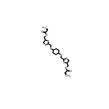 C=CC(=O)OCC1CSC(CSC2CCC(SCC3SCC(COC(=O)C=C)S3)CC2)S1